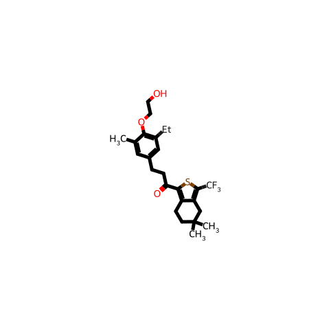 CCc1cc(CCC(=O)c2sc(C(F)(F)F)c3c2CCC(C)(C)C3)cc(C)c1OCCO